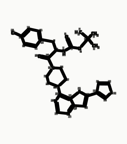 CC(C)(C)OC(=O)NC(Cc1ccc(Cl)cc1)C(=O)N1CCN(c2ncnc3cc(-c4ccsc4)sc23)CC1